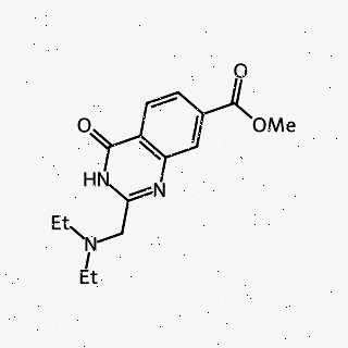 CCN(CC)Cc1nc2cc(C(=O)OC)ccc2c(=O)[nH]1